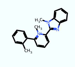 Cc1ccccc1-c1cccc(-c2nc3ccccc3n2C)[n+]1C